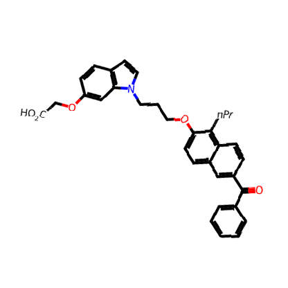 CCCc1c(OCCCn2ccc3ccc(OCC(=O)O)cc32)ccc2cc(C(=O)c3ccccc3)ccc12